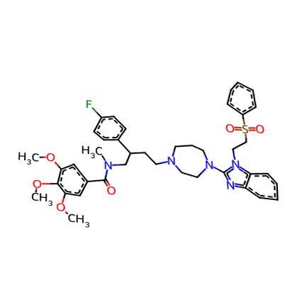 COc1cc(C(=O)N(C)CC(CCN2CCCN(c3nc4ccccc4n3CCS(=O)(=O)c3ccccc3)CC2)c2ccc(F)cc2)cc(OC)c1OC